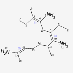 CC/C(C)=C(/N)C/C(CC)=C(/N)C(C)CC/C=C(\C)N